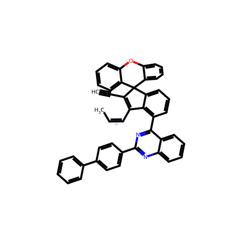 C#CC1=C(/C=C\C)c2c(-c3nc(-c4ccc(-c5ccccc5)cc4)nc4ccccc34)cccc2C12c1ccccc1Oc1ccccc12